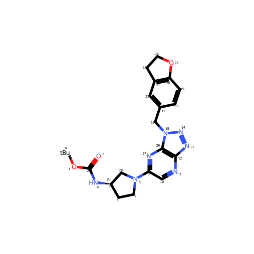 CC(C)(C)OC(=O)N[C@@H]1CCN(c2cnc3nnn(Cc4ccc5c(c4)CCO5)c3n2)C1